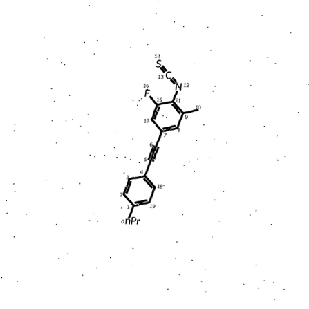 CCCc1ccc(C#Cc2cc(C)c(N=C=S)c(F)c2)cc1